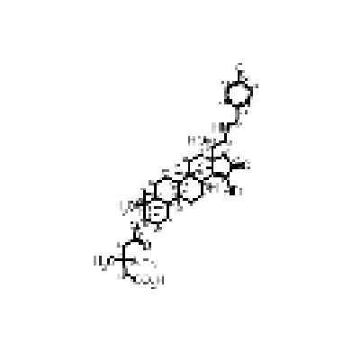 CC(C)C1=C2[C@H]3CC[C@@H]4[C@@]5(C)CC[C@H](OC(=O)CC(C)(C)CC(=O)O)C6(C)C[C@]65CC[C@@]4(C)[C@]3(C)CC[C@@]2([C@H](O)CNCc2ccc(Cl)cc2)CC1=O